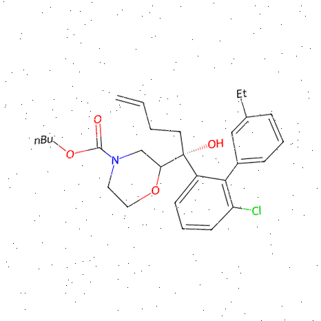 C=CCC[C@@](O)(c1cccc(Cl)c1-c1cccc(CC)c1)C1CN(C(=O)OCCCC)CCO1